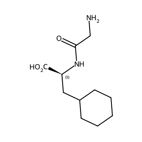 NCC(=O)N[C@@H](CC1CCCCC1)C(=O)O